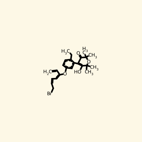 C=C/C(=C\C=C/CBr)Oc1ccc(CC)c(C2=C(O)C(C)(C)OC(C)(C)C2=O)c1